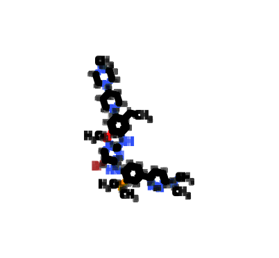 CCc1cc(Nc2ncc(Br)c(Nc3ccc(-c4ccc(N(C)C)nn4)cc3P(C)C)n2)c(OC)cc1N1CCC(N2CCN(C)CC2)CC1